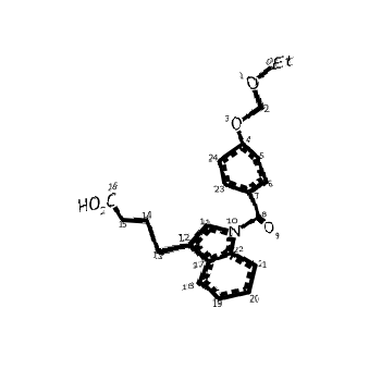 CCOCOc1ccc(C(=O)n2cc(CCCC(=O)O)c3ccccc32)cc1